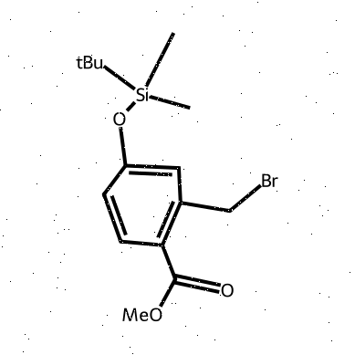 COC(=O)c1ccc(O[Si](C)(C)C(C)(C)C)cc1CBr